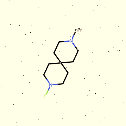 CCCN1CCC2(CCN(F)CC2)CC1